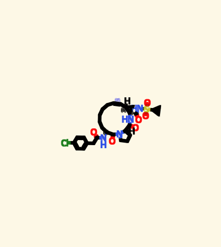 O=C(Cc1ccc(Cl)cc1)N[C@H]1CCCCC/C=C\[C@@H]2C[C@@]2(C(=O)NS(=O)(=O)C2CC2)NC(=O)[C@@H]2CCCN2C1=O